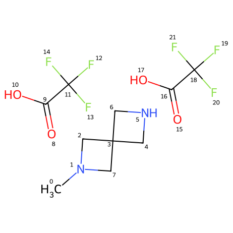 CN1CC2(CNC2)C1.O=C(O)C(F)(F)F.O=C(O)C(F)(F)F